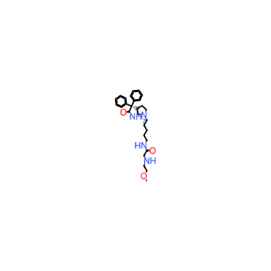 COCCNCC(=O)NCCCCCN1CC[C@@H](C(C(N)=O)(c2ccccc2)c2ccccc2)C1